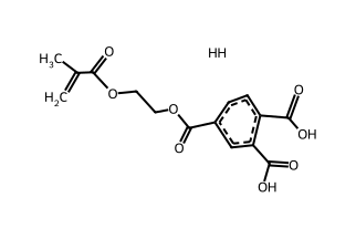 C=C(C)C(=O)OCCOC(=O)c1ccc(C(=O)O)c(C(=O)O)c1.[HH]